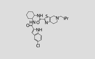 CC(C)CN1CCc2nc(C(=O)NC3CCCCC3NC(=O)c3cc4cc(Cl)ccc4[nH]3)sc2C1